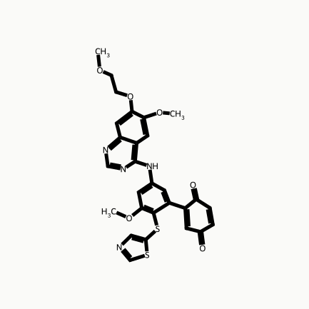 COCCOc1cc2ncnc(Nc3cc(OC)c(Sc4cncs4)c(C4=CC(=O)C=CC4=O)c3)c2cc1OC